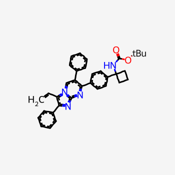 C=Cc1c(-c2ccccc2)nc2nc(-c3ccc(C4(NC(=O)OC(C)(C)C)CCC4)cc3)c(-c3ccccc3)cn12